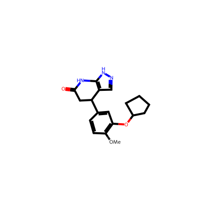 COc1ccc(C2CC(=O)Nc3[nH]ncc32)cc1OC1CCCC1